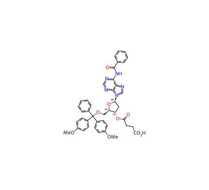 COc1ccc(C(OC[C@H]2O[C@@H](n3cnc4c(NC(=O)c5ccccc5)ncnc43)C[C@@H]2OC(=O)CCC(=O)O)(c2ccccc2)c2ccc(OC)cc2)cc1